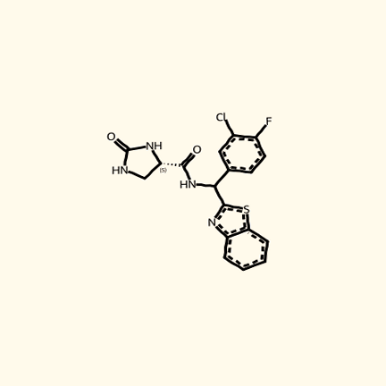 O=C1NC[C@@H](C(=O)NC(c2ccc(F)c(Cl)c2)c2nc3ccccc3s2)N1